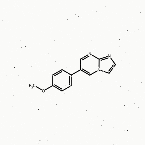 FC(F)(F)Oc1ccc(-c2cnc3nccn3c2)cc1